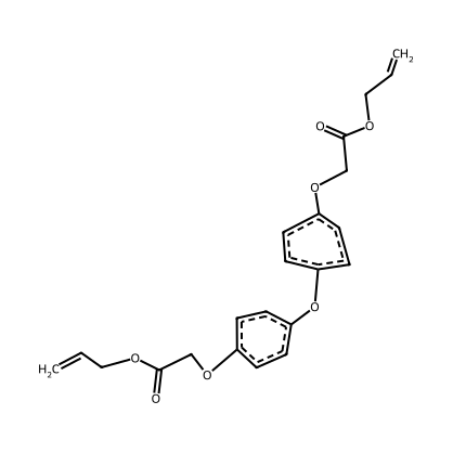 C=CCOC(=O)COc1ccc(Oc2ccc(OCC(=O)OCC=C)cc2)cc1